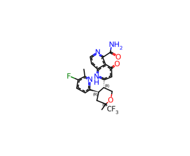 Cc1nc([C@@H]2C[C@](C)(C(F)(F)F)OC[C@H]2c2cc(=O)c3c(C(N)=O)nccc3[nH]2)ccc1F